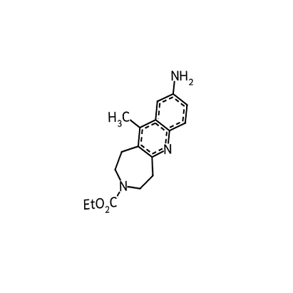 CCOC(=O)N1CCc2nc3ccc(N)cc3c(C)c2CC1